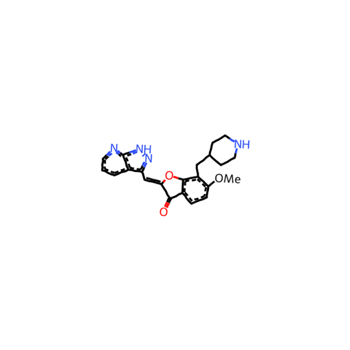 COc1ccc2c(c1CC1CCNCC1)OC(=Cc1n[nH]c3ncccc13)C2=O